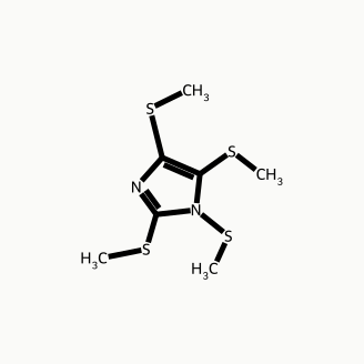 CSc1nc(SC)n(SC)c1SC